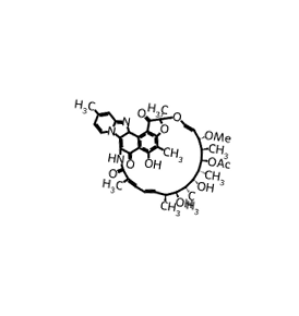 CO[C@H]1/C=C/O[C@@]2(C)Oc3c(C)c(O)c4c(c3C2=O)C2N=C3C=C(C)C=CN3C2=C(NC(=O)/C(C)=C\C=C\[C@H](C)[C@H](O)[C@@H](C)[C@@H](O)[C@@H](C)[C@H](OC(C)=O)[C@@H]1C)C4=O